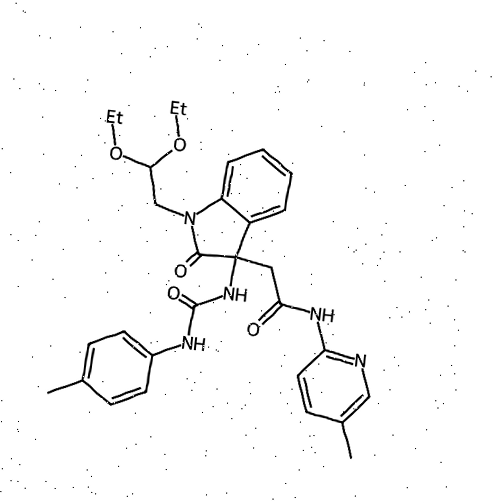 CCOC(CN1C(=O)C(CC(=O)Nc2ccc(C)cn2)(NC(=O)Nc2ccc(C)cc2)c2ccccc21)OCC